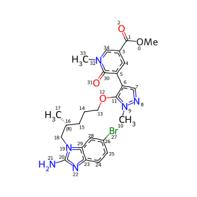 COC(=O)c1cc(-c2cnn(C)c2OCCC[C@@H](C)Cn2c(N)nc3ccc(Br)cc32)c(=O)n(C)c1